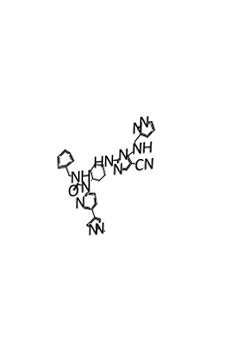 Cn1cc(-c2ccc(N(C(=O)NCc3ccccc3)[C@H]3CC[C@H](Nc4ncc(C#N)c(NCc5cccnn5)n4)CC3)nc2)cn1